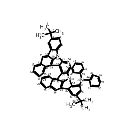 CC(C)(C)c1ccc2c(c1)c1cc3ccccc3c3c4c5c6c7ccccc7cc7c8cc(C(C)(C)C)cc(N(c9ccccc9)c9ccccc9)c8n(c5cnc4n2c13)c76